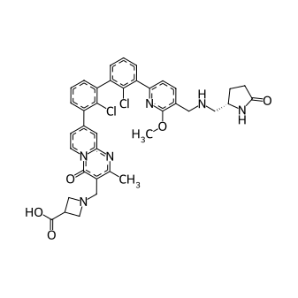 COc1nc(-c2cccc(-c3cccc(-c4ccn5c(=O)c(CN6CC(C(=O)O)C6)c(C)nc5c4)c3Cl)c2Cl)ccc1CNC[C@@H]1CCC(=O)N1